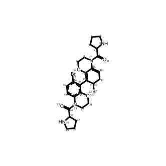 O=C(C1CCCN1)N1CCOC2=C(c3c(Br)ccc4c3OCCN4C(=O)C3CCCN3)[C@H](Br)CC=C21